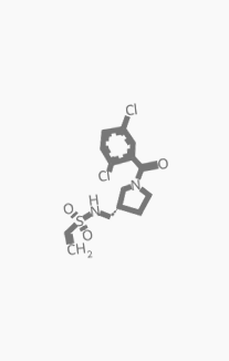 C=CS(=O)(=O)NC[C@H]1CCN(C(=O)c2cc(Cl)ccc2Cl)C1